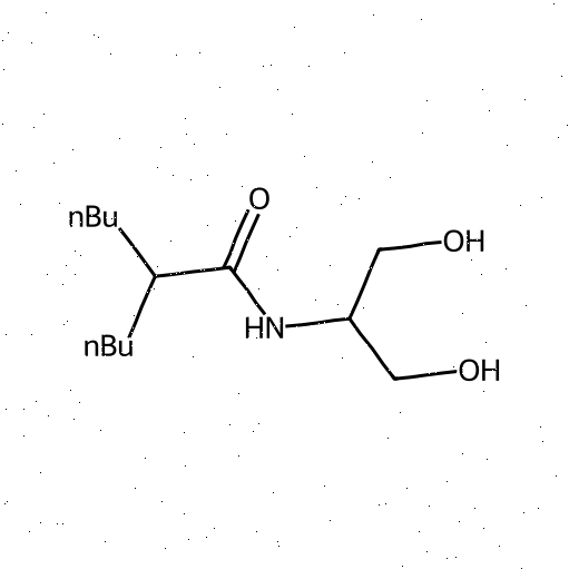 CCCCC(CCCC)C(=O)NC(CO)CO